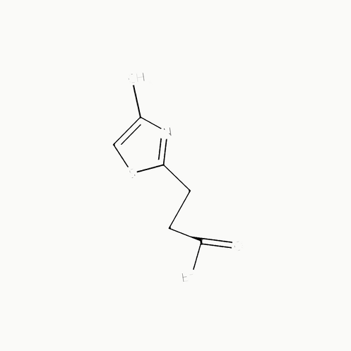 CCC(=O)CCc1nc(C)cs1